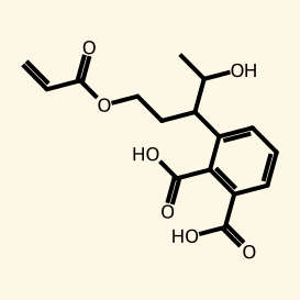 C=CC(=O)OCCC(c1cccc(C(=O)O)c1C(=O)O)C(C)O